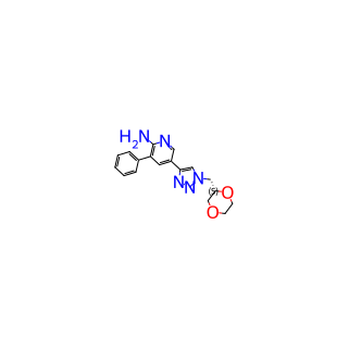 Nc1ncc(-c2cn(C[C@H]3COCCO3)nn2)cc1-c1ccccc1